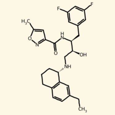 CCc1ccc2c(c1)[C@@H](NC[C@H](O)[C@H](Cc1cc(F)cc(F)c1)NC(=O)c1cc(C)on1)CCC2